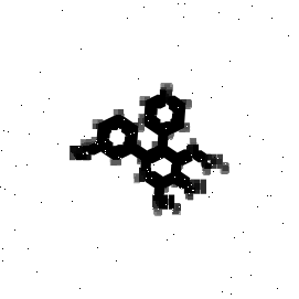 C/N=C1\C(=N)C(N)=NC(c2cccc(C#N)c2)=C1c1ccncc1